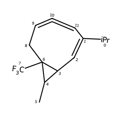 CC(C)/C1=C/C2C(C)C2(C(F)(F)F)CC=C=C1